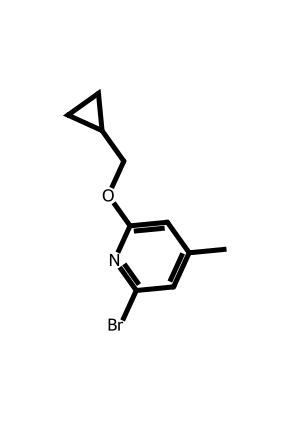 Cc1cc(Br)nc(OCC2CC2)c1